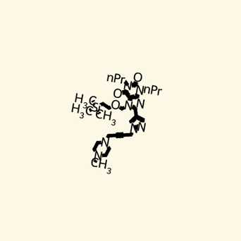 CCCn1c(=O)c2c(nc(-c3cnn(CC#CCN4CCN(C)CC4)c3)n2COCC[Si](C)(C)C)n(CCC)c1=O